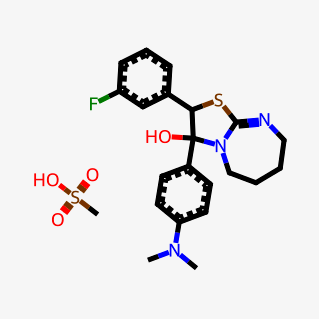 CN(C)c1ccc(C2(O)C(c3cccc(F)c3)SC3=NCCCCN32)cc1.CS(=O)(=O)O